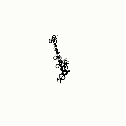 Cc1cc(OC(F)(F)F)cc2c1OC(C(F)(F)F)C(C(=O)OCOC(=O)OCCOCCO[N+](=O)[O-])=C2